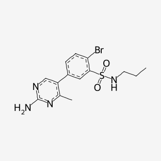 CCCNS(=O)(=O)c1cc(-c2cnc(N)nc2C)ccc1Br